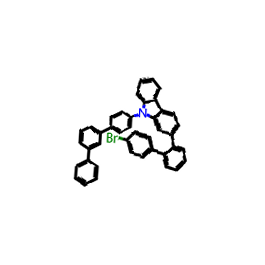 Brc1ccc(-c2ccccc2-c2ccc3c4ccccc4n(-c4ccc(-c5cccc(-c6ccccc6)c5)cc4)c3c2)cc1